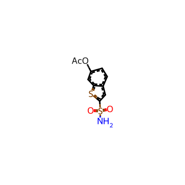 CC(=O)Oc1ccc2cc(S(N)(=O)=O)sc2c1